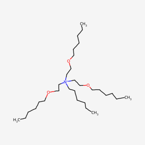 CCCCCCOCC[N+](CCCCCC)(CCOCCCCCC)CCOCCCCCC